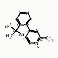 CCCC(C)(CC)c1ccccc1-c1ccnc(C)c1